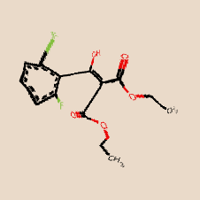 CCOC(=O)C(C(=O)OCC)=C(O)c1c(F)cccc1F